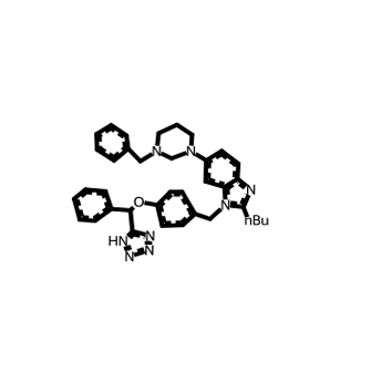 CCCCc1nc2ccc(N3CCCN(Cc4ccccc4)C3)cc2n1Cc1ccc(OC(c2ccccc2)c2nnn[nH]2)cc1